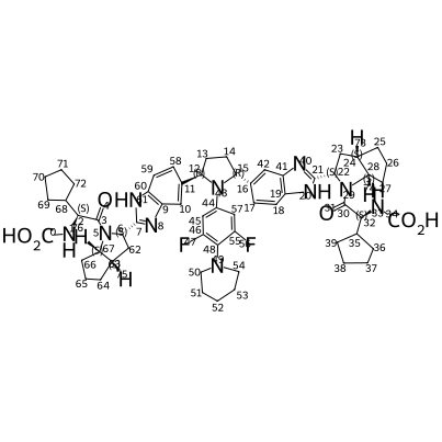 O=C(O)N[C@H](C(=O)N1[C@H](c2nc3cc([C@H]4CC[C@H](c5ccc6[nH]c([C@@H]7C[C@@H]8CCC[C@@H]8N7C(=O)[C@@H](NC(=O)O)C7CCCC7)nc6c5)N4c4cc(F)c(N5CCCCC5)c(F)c4)ccc3[nH]2)C[C@@H]2CCC[C@@H]21)C1CCCC1